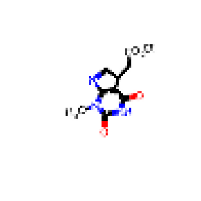 CCOC(=O)CC1C=Nc2c1c(=O)[nH]c(=O)n2C